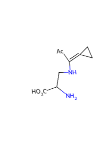 CC(=O)C(NCC(N)C(=O)O)=C1CC1